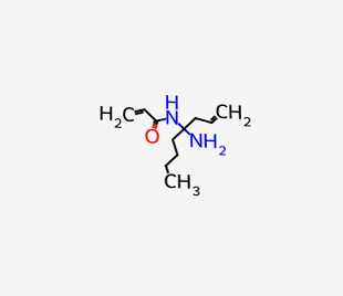 C=CCC(N)(CCCC)NC(=O)C=C